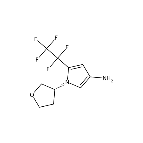 Nc1cc(C(F)(F)C(F)(F)F)n([C@@H]2CCOC2)c1